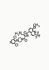 COc1ccc(-c2nc(C(=O)N3CCN(c4c(Cl)cncc4Cl)CC3)c(CN)o2)c2ccc(C(F)(F)F)nc12